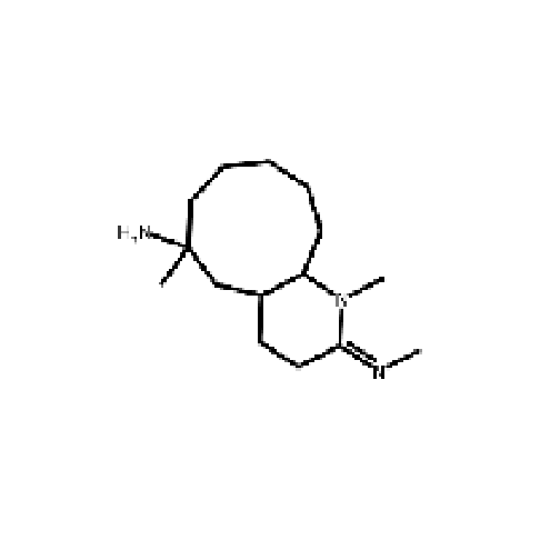 C/N=C1/CCC2CC(C)(N)CCCCCC2N1C